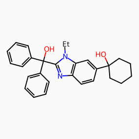 CCn1c(C(O)(c2ccccc2)c2ccccc2)nc2ccc(C3(O)CCCCC3)cc21